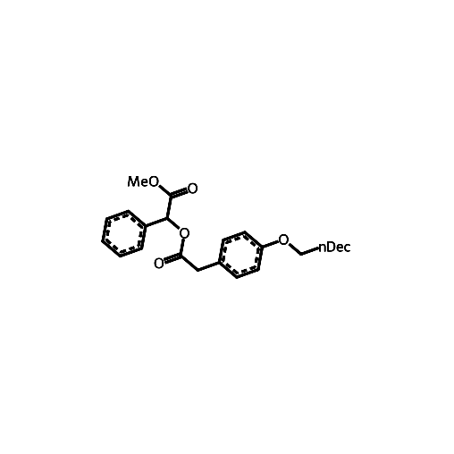 CCCCCCCCCCCOc1ccc(CC(=O)OC(C(=O)OC)c2ccccc2)cc1